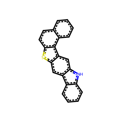 c1ccc2c(c1)ccc1sc3cc4c(cc3c12)[nH]c1ccccc14